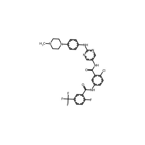 CN1CCN(c2ccc(Nc3ncc(NC(=O)c4cc(NC(=O)c5cc(C(F)(F)F)ccc5F)ccc4Cl)cn3)cc2)CC1